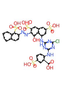 O=C(O)c1cc(S(=O)(=O)O)ccc1Nc1nc(Cl)nc(Nc2cc(S(=O)(=O)O)cc3cc(S(=O)(=O)O)c(/N=N/c4ccc5ccccc5c4S(=O)(=O)O)c(O)c23)n1